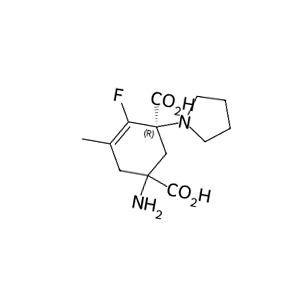 CC1=C(F)[C@@](C(=O)O)(N2CCCC2)CC(N)(C(=O)O)C1